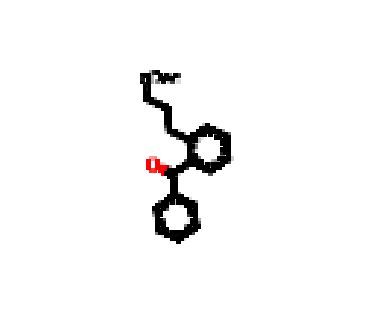 CCCCCCCCCCCCCc1ccccc1C(=O)c1ccccc1